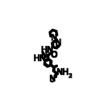 C=N/C=C(N)\C=C(/C)c1ccc2[nH]nc(C(=O)Nc3ccnc(N4CCCCC4)c3)c2c1